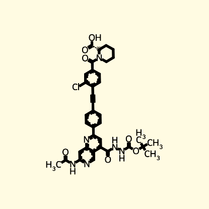 CC(=O)Nc1cc2nc(-c3ccc(C#Cc4ccc(C(=O)N5CCCC[C@H]5C(=O)O)cc4Cl)cc3)cc(C(=O)NNC(=O)OC(C)(C)C)c2cn1